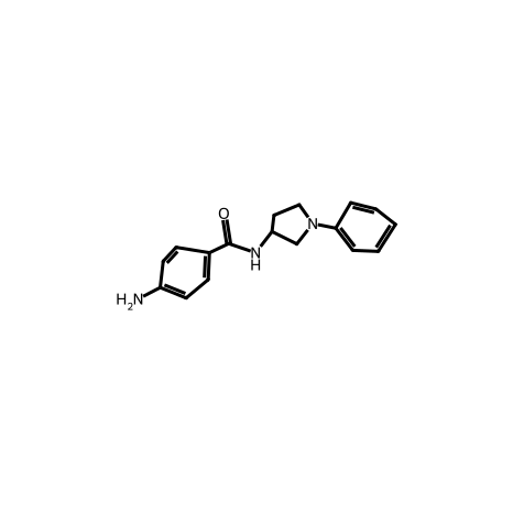 Nc1ccc(C(=O)NC2CCN(c3ccccc3)C2)cc1